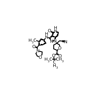 Cc1cc(Nc2nn(C3(CC#N)CCC(C(=O)OC(C)(C)C)OC3)c3cc[nH]c(=O)c23)ccc1C(=O)N1CCOCC1